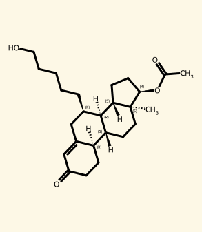 CC(=O)O[C@@H]1CC[C@H]2[C@@H]3[C@H](CCCCCO)CC4=CC(=O)CC[C@@H]4[C@H]3CC[C@]12C